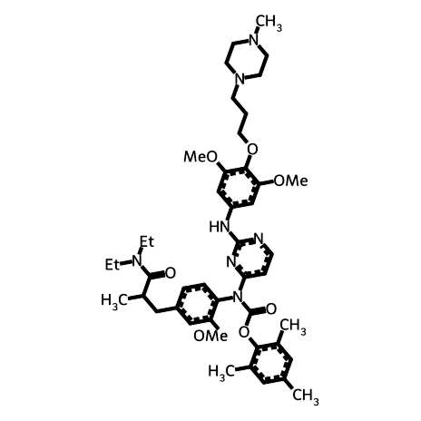 CCN(CC)C(=O)C(C)Cc1ccc(N(C(=O)Oc2c(C)cc(C)cc2C)c2ccnc(Nc3cc(OC)c(OCCCN4CCN(C)CC4)c(OC)c3)n2)c(OC)c1